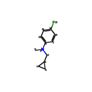 CN(CC1CC1)c1ccc(F)cc1